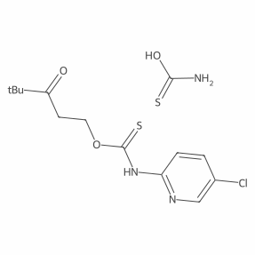 CC(C)(C)C(=O)CCOC(=S)Nc1ccc(Cl)cn1.NC(O)=S